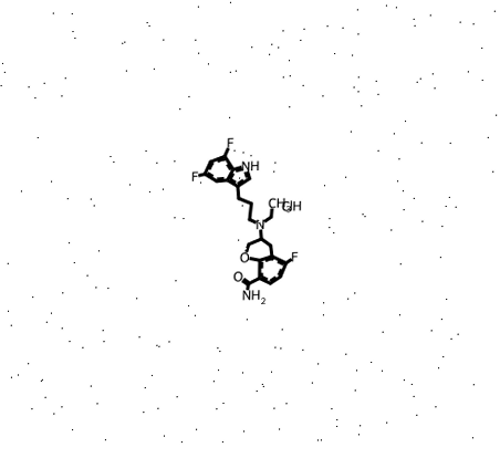 CCN(CCCc1c[nH]c2c(F)cc(F)cc12)C1COc2c(C(N)=O)ccc(F)c2C1.Cl